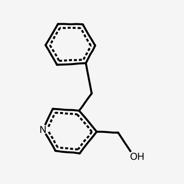 OCc1ccncc1Cc1ccccc1